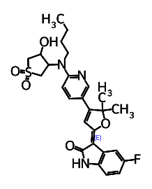 CCCCN(c1ccc(C2=C/C(=C3\C(=O)Nc4ccc(F)cc43)OC2(C)C)cn1)C1CS(=O)(=O)CC1O